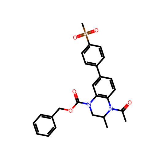 CC(=O)N1c2ccc(-c3ccc(S(C)(=O)=O)cc3)cc2N(C(=O)OCc2ccccc2)CC1C